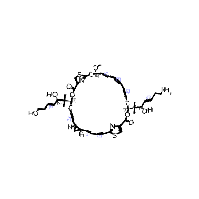 CO[C@H]1/C=C/C=C\C=C/C[C@@H](C(C)(C)[C@@H](O)/C=C/CCN)OC(=O)c2csc(n2)/C=C\C=C\[C@@H]2C[C@@H]2/C=C\C[C@@H](C(C)(C)[C@@H](O)/C=C/CCO)OC(=O)c2csc(n2)C1